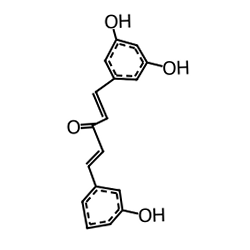 O=C(/C=C/c1cccc(O)c1)/C=C/c1cc(O)cc(O)c1